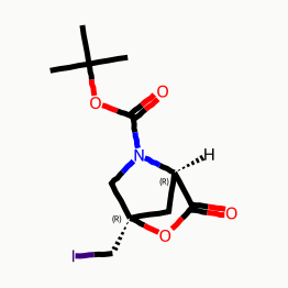 CC(C)(C)OC(=O)N1C[C@@]2(CI)C[C@@H]1C(=O)O2